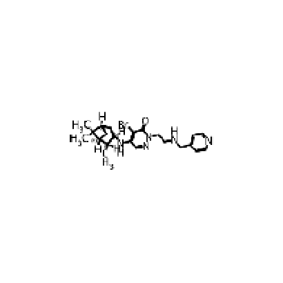 C[C@@H]1[C@H]2C[C@@H](C[C@H]1Nc1cnn(CCNCc3ccncc3)c(=O)c1Br)C2(C)C